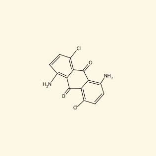 Nc1ccc(Cl)c2c1C(=O)c1c(Cl)ccc(N)c1C2=O